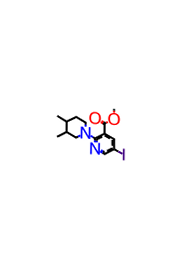 COC(=O)c1cc(I)cnc1N1CCC(C)C(C)C1